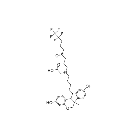 CC1(c2ccc(O)cc2)COc2cc(O)ccc2C1CCCCCN(CCC[S+]([O-])CCCC(F)(F)C(F)(F)F)CC(=O)O